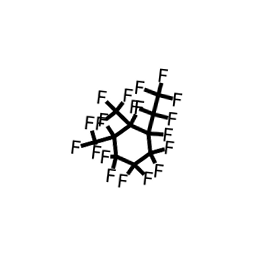 FC(F)(F)C(F)(F)C1(F)C(F)(F)C(F)(F)C(F)(F)C(F)(C(F)(F)F)C1(F)C(F)(F)F